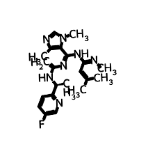 C=C(/N=C(/N/C(C=C(C)C)=N/C)c1c(C)ncn1C)N[C@@H](C)c1ccc(F)cn1